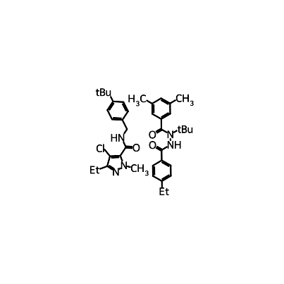 CCc1ccc(C(=O)NN(C(=O)c2cc(C)cc(C)c2)C(C)(C)C)cc1.CCc1nn(C)c(C(=O)NCc2ccc(C(C)(C)C)cc2)c1Cl